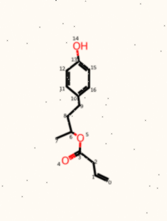 C=CCC(=O)OC(C)CCc1ccc(O)cc1